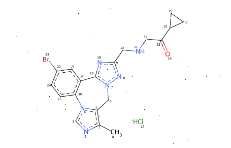 Cc1ncn2c1Cn1nc(CNCC(=O)C3CC3)nc1-c1cc(Br)ccc1-2.Cl